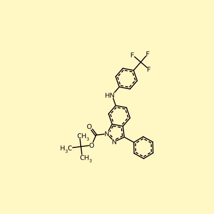 CC(C)(C)OC(=O)n1nc(-c2ccccc2)c2ccc(Nc3ccc(C(F)(F)F)cc3)cc21